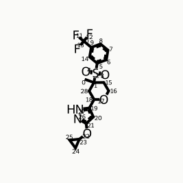 CC1(S(=O)(=O)c2cccc(C(F)(F)F)c2)CCOC(c2cc(OC3CC3)n[nH]2)C1